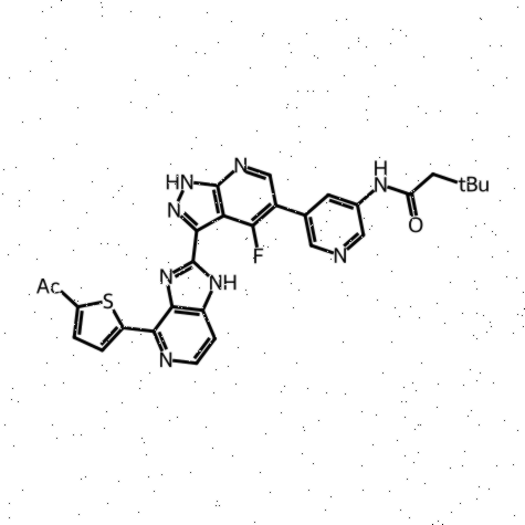 CC(=O)c1ccc(-c2nccc3[nH]c(-c4n[nH]c5ncc(-c6cncc(NC(=O)CC(C)(C)C)c6)c(F)c45)nc23)s1